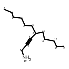 CCCCCCC(C#CCN)CCCCC